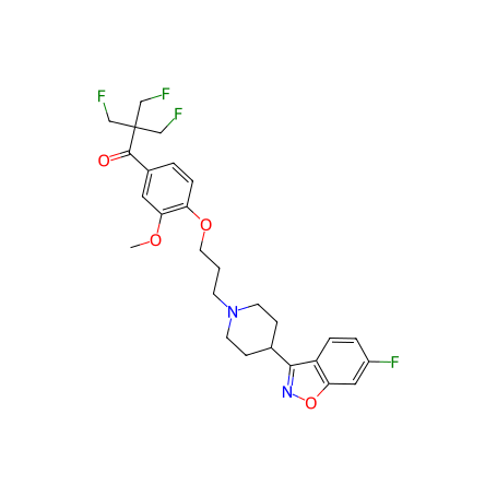 COc1cc(C(=O)C(CF)(CF)CF)ccc1OCCCN1CCC(c2noc3cc(F)ccc23)CC1